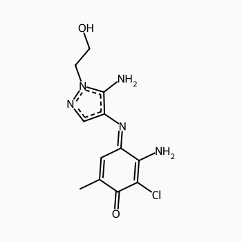 CC1=CC(=Nc2cnn(CCO)c2N)C(N)=C(Cl)C1=O